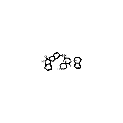 CC1(C(=O)N(CC(=O)Nc2ccc3c(c2)CC2(C3)C(=O)Nc3ncccc32)[C@@H]2CCCc3ccccc32)CCNCC1